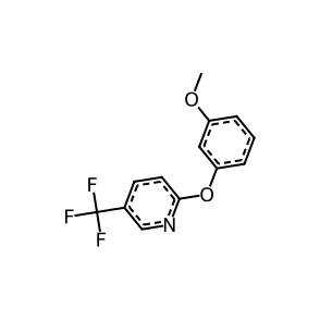 COc1cccc(Oc2ccc(C(F)(F)F)cn2)c1